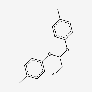 Cc1ccc(OP(CC(C)C)Oc2ccc(C)cc2)cc1